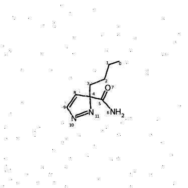 CCCCC1(C(N)=O)C=CN=N1